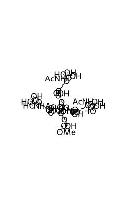 COCCCOCC(CO)COCCCOP(=O)(O)OCC(COCCCOP(=O)(O)OCCCCCCO[C@@H]1OC(CO)[C@H](O)[C@H](O)C1NC(C)=O)(COCCCOP(=O)(O)OCCCCCCO[C@@H]1OC(CO)[C@H](O)C(O)[C@@H]1NC(C)=O)COCCCOP(=O)(O)OCCCCCCO[C@@H]1OC(CO)[C@H](O)C(O)[C@@H]1NC(C)=O